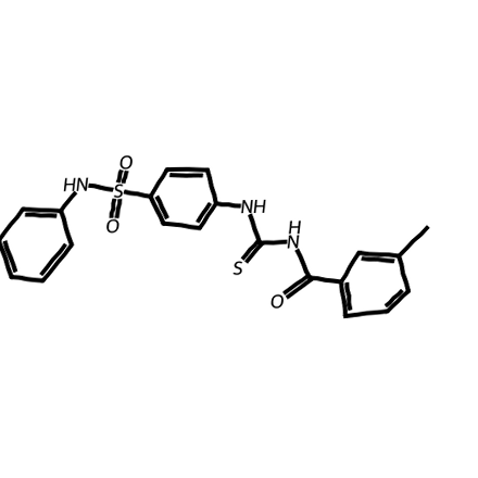 Cc1cccc(C(=O)NC(=S)Nc2ccc(S(=O)(=O)Nc3ccccc3)cc2)c1